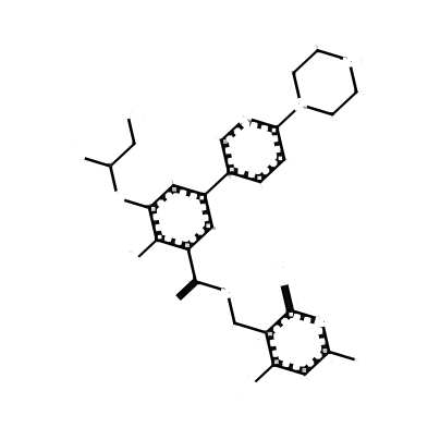 CCC(C)Oc1cc(-c2ccc(N3CCNCC3)nc2)cc(C(=O)NCc2c(C)cc(C)[nH]c2=O)c1C